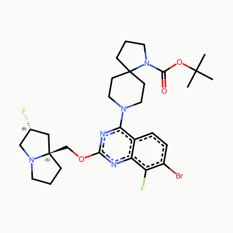 CC(C)(C)OC(=O)N1CCCC12CCN(c1nc(OC[C@@]34CCCN3C[C@H](F)C4)nc3c(F)c(Br)ccc13)CC2